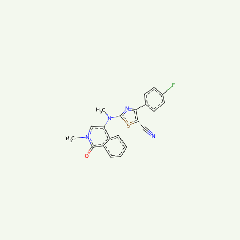 CN(c1nc(-c2ccc(F)cc2)c(C#N)s1)c1cn(C)c(=O)c2ccccc12